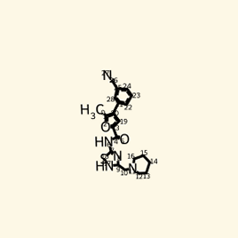 Cc1oc(C(=O)NC2=NC(CN3CCCCC3)NS2)cc1-c1cccc(C#N)c1